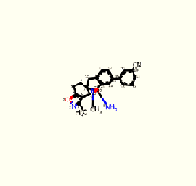 Cc1noc2c1CC1(CC2)Cc2ccc(-c3cccc(C#N)c3)cc2C12N=C(N)N(C)O2